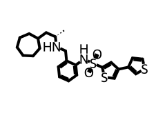 C[C@@H](CC1CCCCCC1)NCc1ccccc1NS(=O)(=O)c1cc(-c2ccsc2)cs1